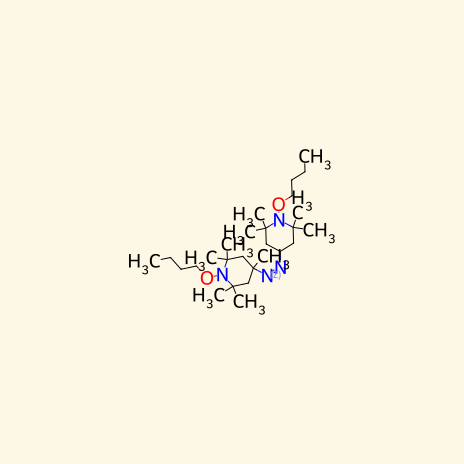 CCCCON1C(C)(C)CC(/N=N\C2(C)CC(C)(C)N(OCCCC)C(C)(C)C2)CC1(C)C